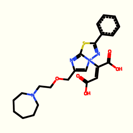 O=C(O)/C=C(/C(=O)O)[N+]12C=C(COCCN3CCCCCC3)N=C1SC(c1ccccc1)=N2